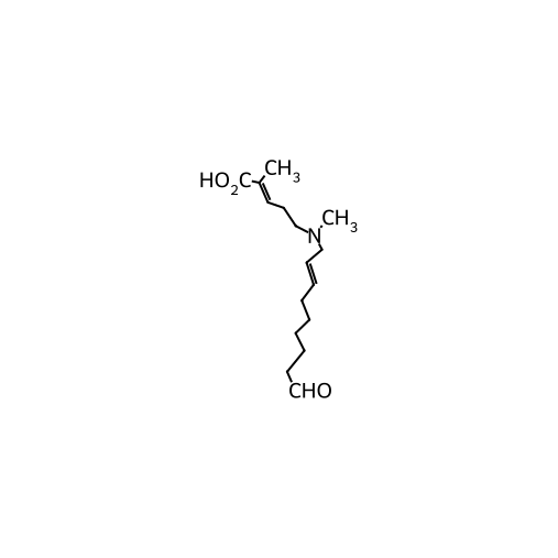 CC(=CCCN(C)CC=CCCCCCC=O)C(=O)O